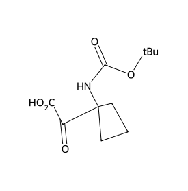 CC(C)(C)OC(=O)NC1(C(=O)C(=O)O)CCC1